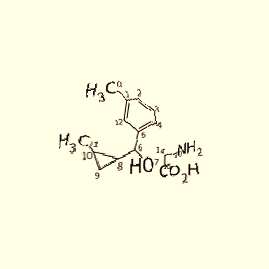 Cc1cccc(C(O)C2CC2C)c1.NCC(=O)O